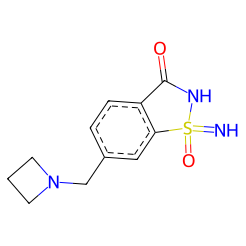 N=S1(=O)NC(=O)c2ccc(CN3CCC3)cc21